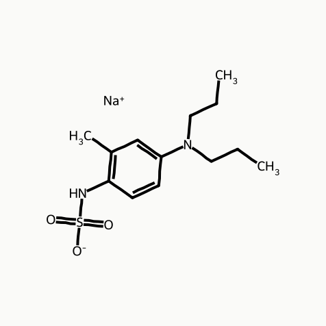 CCCN(CCC)c1ccc(NS(=O)(=O)[O-])c(C)c1.[Na+]